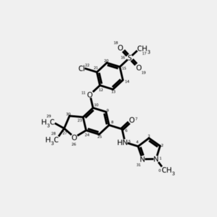 Cn1ccc(NC(=O)c2cc(Oc3ccc(S(C)(=O)=O)cc3Cl)c3c(c2)OC(C)(C)C3)n1